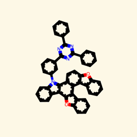 c1ccc(-c2nc(-c3ccccc3)nc(-c3cccc(-n4c5ccccc5c5c6oc7ccccc7c6c6c(ccc7oc8ccccc8c76)c54)c3)n2)cc1